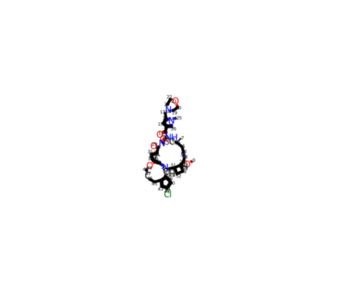 CO[C@H]1/C=C/C[C@H](C)CS(=O)(NC(=O)c2cc(CN3CCOCC3)n(C)c2)=NC(=O)c2ccc3c(c2)N(Cc2ccc(Cl)cc2CCCCO3)C[C@@H]2CC[C@H]21